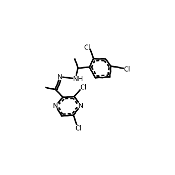 C/C(=N/NC(C)c1ccc(Cl)cc1Cl)c1ncc(Cl)nc1Cl